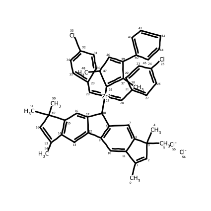 CC1=CC(C)(C)c2cc3c(cc21)-c1cc2c(cc1[CH]3[Zr+2](=[CH]c1ccc(Cl)cc1)(=[CH]c1ccc(Cl)cc1)[C]1=C(C)C(c3ccccc3)=CC1C)C(C)(C)C=C2C.[Cl-].[Cl-]